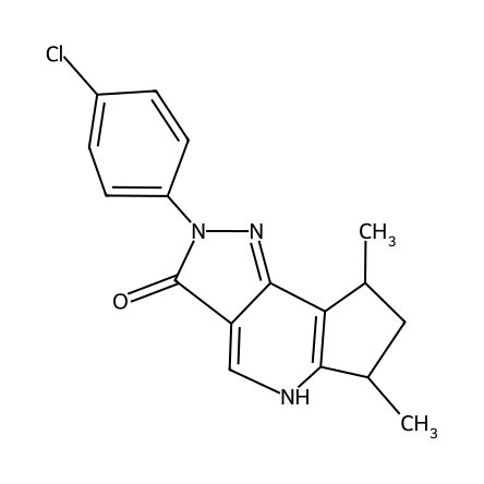 CC1CC(C)c2c3nn(-c4ccc(Cl)cc4)c(=O)c-3c[nH]c21